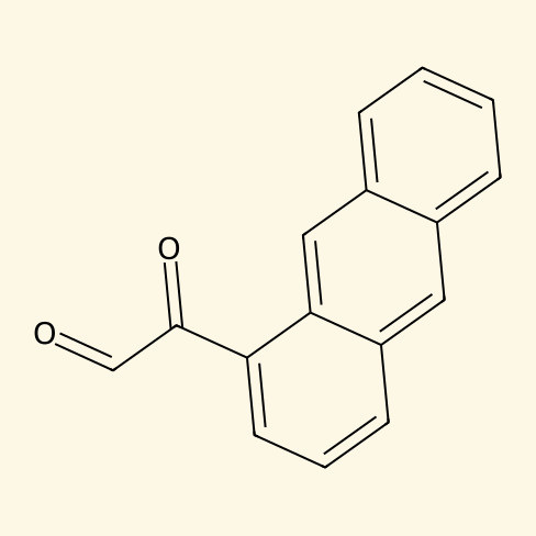 O=CC(=O)c1cccc2cc3ccccc3cc12